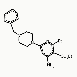 CCOC(=O)c1c(N)nc(N2CCN(Cc3ccccc3)CC2)nc1CC